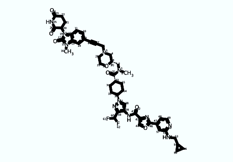 CN(C[C@H]1CN(CC#Cc2ccc3c(c2)n(C)c(=O)n3C2CCC(=O)NC2=O)CCO1)C(=O)[C@H]1CC[C@H](n2cc(NC(=O)c3coc(-c4ccnc(NCC5CC5)c4)n3)c(C(F)F)n2)CC1